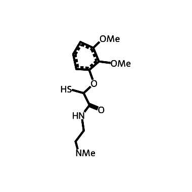 CNCCNC(=O)C(S)Oc1cccc(OC)c1OC